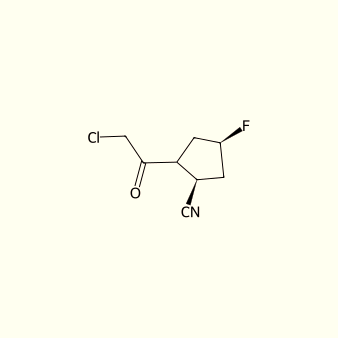 N#C[C@@H]1C[C@H](F)CC1C(=O)CCl